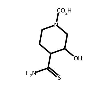 NC(=S)C1CCN(C(=O)O)CC1O